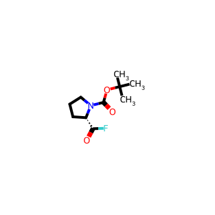 CC(C)(C)OC(=O)N1CCC[C@H]1C(=O)F